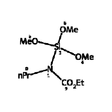 CCCN(C(=O)OCC)[Si](OC)(OC)OC